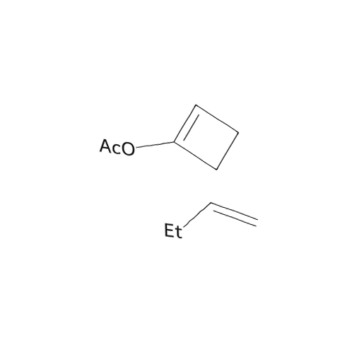 C=CCC.CC(=O)OC1=CCC1